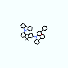 CC1(C)c2cc(N(c3ccc(-c4ccccc4)cc3)c3ccccc3-c3ccccc3)ccc2-c2c(-n3c4ccccc4c4ccccc43)cccc21